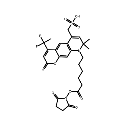 CC1(C)C=C(CS(=O)(=O)O)c2cc3c(C(F)(F)F)cc(=O)oc3cc2N1CCCCCC(=O)ON1C(=O)CCC1=O